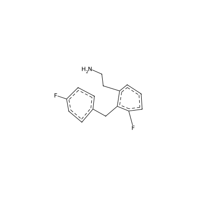 NCCc1cccc(F)c1Cc1ccc(F)cc1